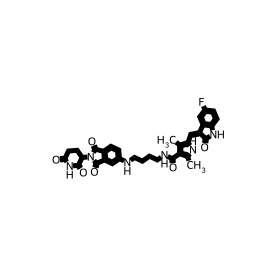 Cc1[nH]c(C=C2C(=O)Nc3ccc(F)cc32)c(C)c1C(=O)NCCCCNc1ccc2c(c1)C(=O)N(C1CCC(=O)NC1=O)C2=O